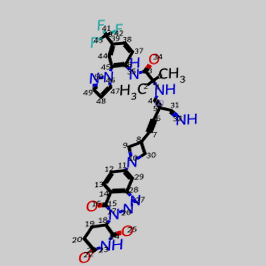 CC(C)(N/C=C(/C#CC1CN(c2ccc3c(=O)n(C4CCC(=O)NC4=O)nnc3c2)C1)C=N)C(=O)Nc1ccc(C(F)(F)F)cc1-n1cccn1